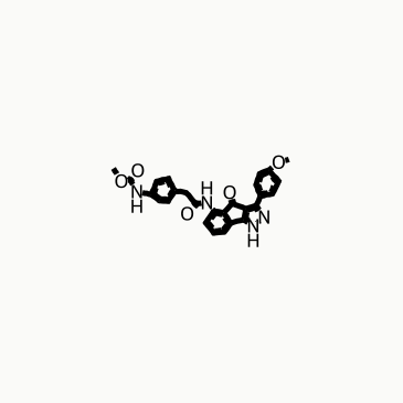 COC(=O)Nc1ccc(CC(=O)Nc2cccc3c2C(=O)c2c(-c4ccc(OC)cc4)n[nH]c2-3)cc1